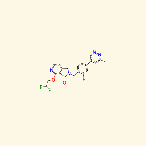 Cc1cc(-c2ccc(CN3Cc4ccnc(OCC(F)F)c4C3=O)c(F)c2)cnn1